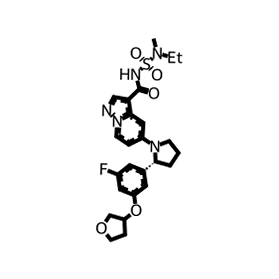 CCN(C)S(=O)(=O)NC(=O)c1cnn2ccc(N3CCC[C@@H]3c3cc(F)cc(OC4CCOC4)c3)cc12